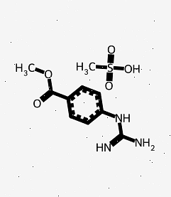 COC(=O)c1ccc(NC(=N)N)cc1.CS(=O)(=O)O